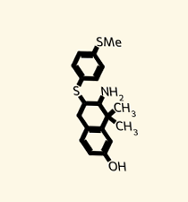 CSc1ccc(SC2Cc3ccc(O)cc3C(C)(C)C2N)cc1